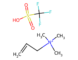 C=CC[N+](C)(C)C.O=S(=O)(O)C(F)(F)F